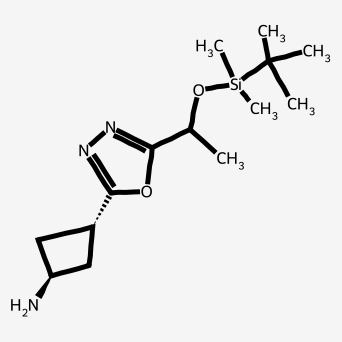 CC(O[Si](C)(C)C(C)(C)C)c1nnc([C@H]2C[C@H](N)C2)o1